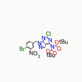 CC(C)(C)OC(=O)N(C(=O)OC(C)(C)C)c1nc(Cl)nc2c1cnn2Cc1ccc(Br)c([N+](=O)[O-])c1